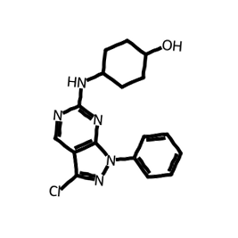 OC1CCC(Nc2ncc3c(Cl)nn(-c4ccccc4)c3n2)CC1